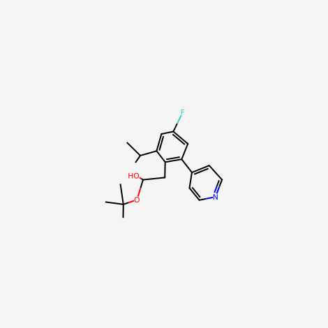 CC(C)c1cc(F)cc(-c2ccncc2)c1CC(O)OC(C)(C)C